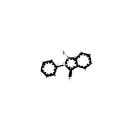 O=c1c2ccccc2sn1-c1ccccc1.[S]